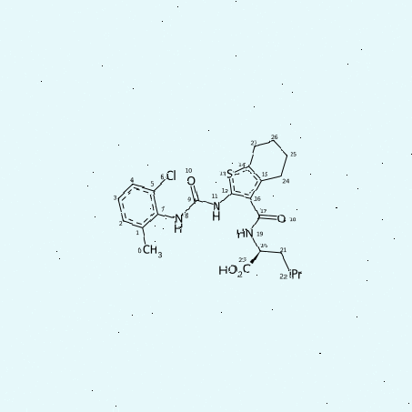 Cc1cccc(Cl)c1NC(=O)Nc1sc2c(c1C(=O)N[C@@H](CC(C)C)C(=O)O)CCCC2